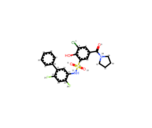 O=C(c1cc(Cl)c(O)c(S(=O)(=O)Nc2cc(-c3ccccc3)c(F)cc2F)c1)N1CCCC1